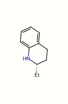 CC[C@H]1CCc2ccccc2N1